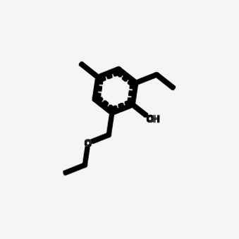 CCOCc1cc(C)cc(CC)c1O